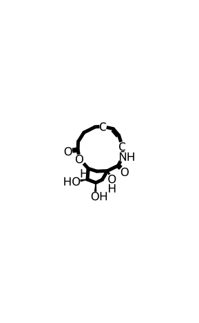 O=C1CCCC/C=C\CNC(=O)[C@]2(O)C[C@@H](O)[C@@H](O)[C@@H](C2)O1